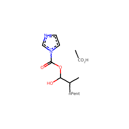 CC(=O)O.CCCCCC(C)C(O)OC(=O)n1ccnc1